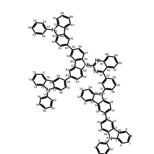 c1ccc(-n2c3ccccc3c3cc(-c4ccc5c(c4)c4ccccc4n5-c4cccc(-c5nc(-n6c7ccc(-c8ccc9c(c8)c8ccccc8n9-c8ccccc8)cc7c7cc(-c8ccc9c(c8)c8ccccc8n9-c8ccccc8)ccc76)nc6ccccc56)c4)ccc32)cc1